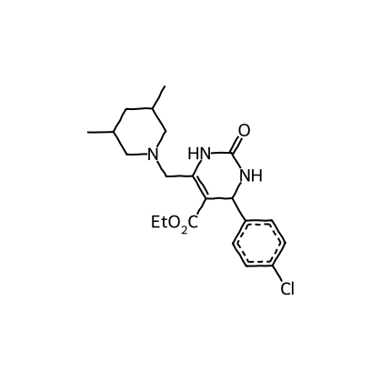 CCOC(=O)C1=C(CN2CC(C)CC(C)C2)NC(=O)NC1c1ccc(Cl)cc1